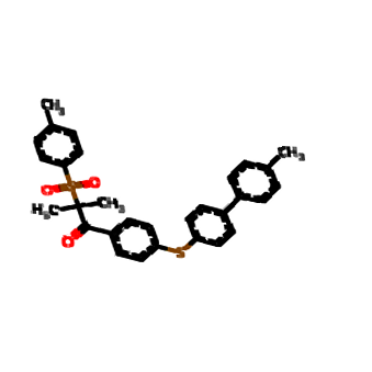 Cc1ccc(-c2ccc(Sc3ccc(C(=O)C(C)(C)S(=O)(=O)c4ccc(C)cc4)cc3)cc2)cc1